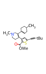 COC(=O)c1sc(C#CC(C)(C)C)cc1C1=C(C2=CCC(C)CC2)CN(C)CC1